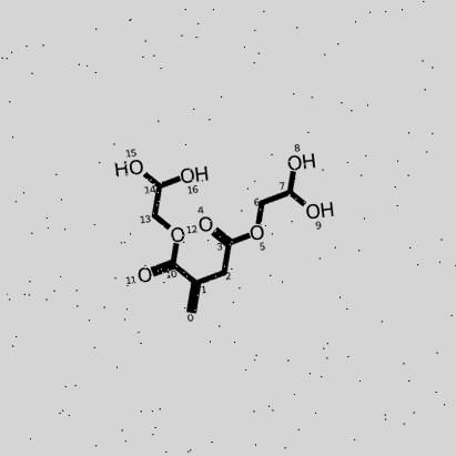 C=C(CC(=O)OCC(O)O)C(=O)OCC(O)O